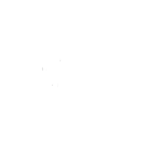 CC(C)(O)C1CCCc2ccccc21